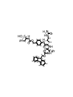 CC(C)C[C@H](NC(=O)OCc1ccc(NC(=O)[C@H](CCCNC(N)=O)NC(=O)[C@@H](NC(=O)OCC2c3ccccc3-c3ccccc32)C(C)C)cc1)C(=O)O